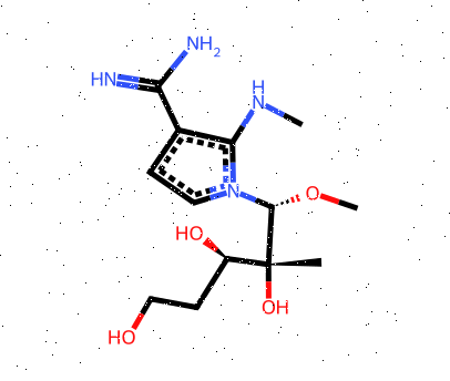 CNc1c(C(=N)N)ccn1[C@H](OC)[C@](C)(O)[C@H](O)CCO